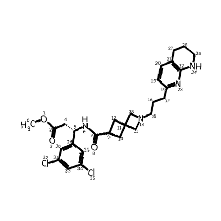 COC(=O)C[C@H](NC(=O)C1CC2(C1)CN(CCCc1ccc3c(n1)NCCC3)C2)c1cc(Cl)cc(Cl)c1